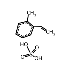 C=Cc1ccccc1C.O=S(=O)(O)O